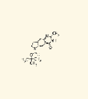 Cc1nc2cc3c(cc2c(=O)[nH]1)N(C(=O)OC(C)(C)C)CC3